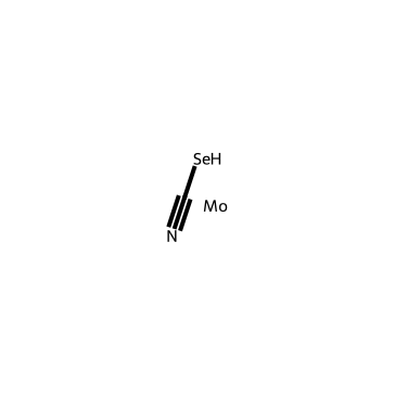 N#C[SeH].[Mo]